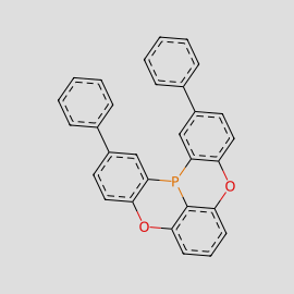 c1ccc(-c2ccc3c(c2)P2c4cc(-c5ccccc5)ccc4Oc4cccc(c42)O3)cc1